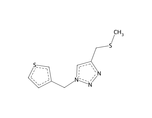 CSCc1cn(Cc2ccsc2)nn1